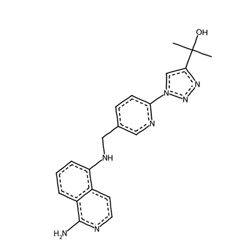 CC(C)(O)c1cn(-c2ccc(CNc3cccc4c(N)nccc34)cn2)nn1